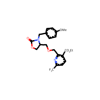 CCOC(=O)c1ccc(C(F)(F)F)nc1COCC1COC(=O)N1Cc1ccc(OC)cc1